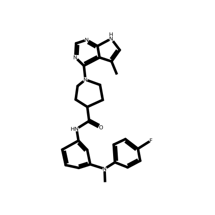 Cc1c[nH]c2ncnc(N3CCC(C(=O)Nc4cccc(N(C)c5ccc(F)cc5)c4)CC3)c12